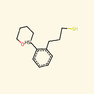 SCCCc1ccccc1[SiH]1CCCCO1